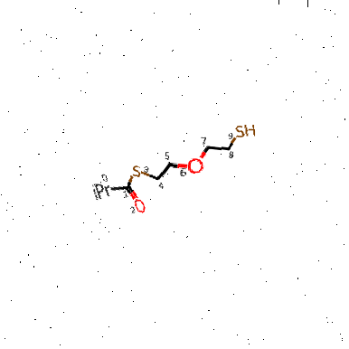 CC(C)C(=O)SCCOCCS